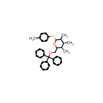 Cc1ccc(S[C@@H]2OC(COC(c3ccccc3)(c3ccccc3)c3ccccc3)[C@H](C)[C@H](C)C2C)cc1